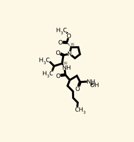 CCCCCC(CC(=O)NO)C(=O)N[C@H](C(=O)N1CCC[C@H]1C(=O)OC)C(C)C